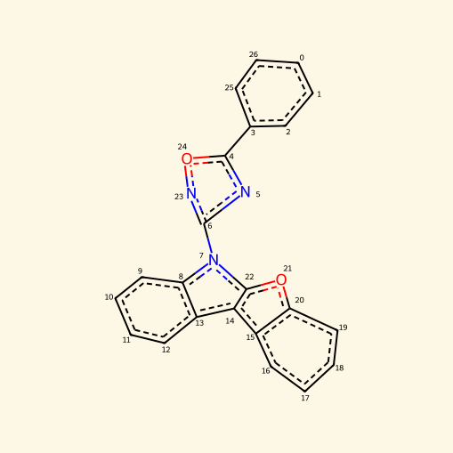 c1ccc(-c2nc(-n3c4ccccc4c4c5ccccc5oc43)no2)cc1